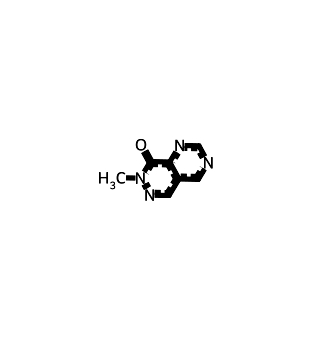 Cn1ncc2cncnc2c1=O